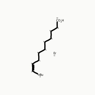 CCCC/C=C\CCCCCCCC(=O)O.[Er]